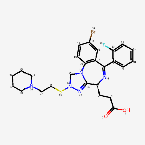 O=C(O)CC[C@@H]1N=C(c2ccccc2F)c2cc(Br)ccc2N2CN(SCCN3CCCCC3)N=C12